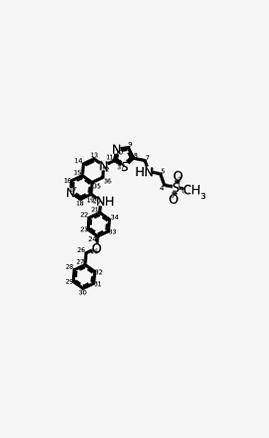 CS(=O)(=O)CCNCc1cnc(N2C=Cc3cncc(Nc4ccc(OCc5ccccc5)cc4)c3C2)s1